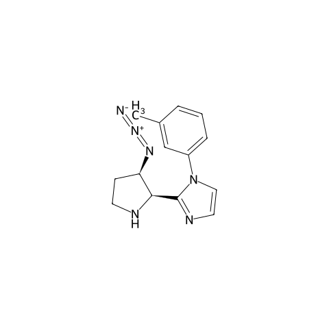 Cc1cccc(-n2ccnc2[C@H]2NCC[C@H]2N=[N+]=[N-])c1